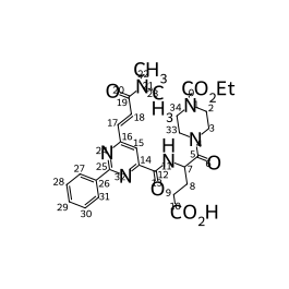 CCOC(=O)N1CCN(C(=O)C(CCC(=O)O)NC(=O)c2cc(C=CC(=O)N(C)C)nc(-c3ccccc3)n2)CC1